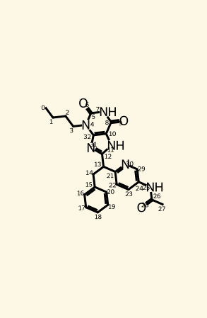 CCCCn1c(=O)[nH]c(=O)c2[nH]c(C(Cc3ccccc3)c3ccc(NC(C)=O)cn3)nc21